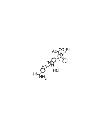 CCOC(=O)C(NCC(C)(C(=O)N1CCCCC1)c1ccc2c(c1)nc(CNc1ccc(C(=N)N)cc1)n2C)C(C)=O.Cl